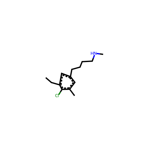 CCc1cc(CCCCNC)cc(C)c1Cl